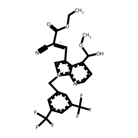 CCOC(=O)/C(C#N)=C/c1cn(Cc2cc(C(F)(F)F)cc(C(F)(F)F)c2)c2nccc(C(O)OC)c12